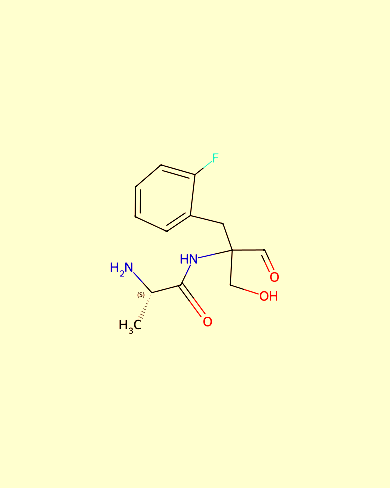 C[C@H](N)C(=O)NC(C=O)(CO)Cc1ccccc1F